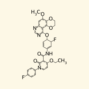 CCOc1ccn(-c2ccc(F)cc2)c(=O)c1C(=O)NC1=CC(F)C(Oc2ncnc3cc(OC)c4c(c23)OCCO4)C=C1